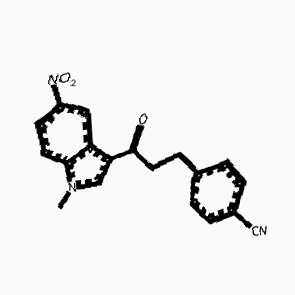 Cn1cc(C(=O)CCc2ccc(C#N)cc2)c2cc([N+](=O)[O-])ccc21